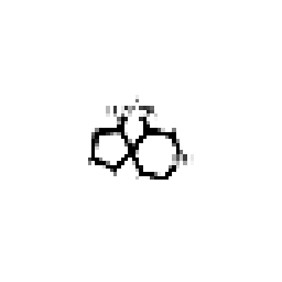 NC1CCCC12CCNCC2C(F)(F)F